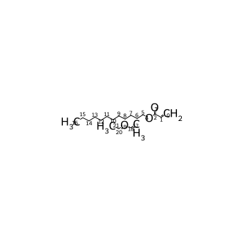 C=CC(=O)OCCCCCCCCCCCC.CCOCC